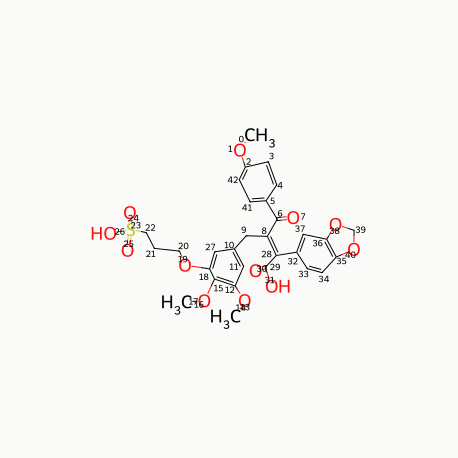 COc1ccc(C(=O)C(Cc2cc(OC)c(OC)c(OCCCS(=O)(=O)O)c2)=C(C(=O)O)c2ccc3c(c2)OCO3)cc1